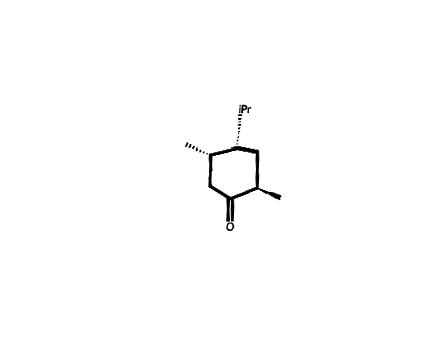 CC(C)[C@@H]1C[C@@H](C)C(=O)C[C@@H]1C